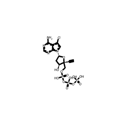 C#C[C@]1(COP(=O)(O)OP(=O)(O)OP(=O)(O)O)O[C@@H](n2cc(Cl)c3c(N)ncnc32)C[C@@H]1O